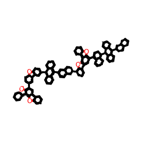 c1ccc2cc(-c3c4ccccc4c(-c4ccc(-c5cc6c7cccc(-c8ccc9cc(-c%10c%11ccccc%11c(-c%11ccc%12oc%13ccc(-c%14cc%15c%16ccccc%16oc%15c%15c%14oc%14ccccc%14%15)cc%13c%12c%11)c%11ccccc%10%11)ccc9c8)c7oc6c6c5oc5ccccc56)c5ccccc45)c4ccccc34)ccc2c1